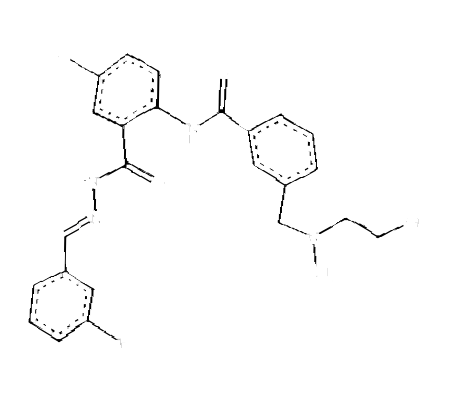 CN(CCO)Cc1cccc(C(=O)Nc2ccc(Cl)cc2C(=O)N/N=C/c2cccc(F)c2)c1